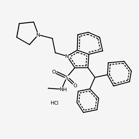 CNS(=O)(=O)c1c(C(c2ccccc2)c2ccccc2)c2ccccc2n1CCN1CCCC1.Cl